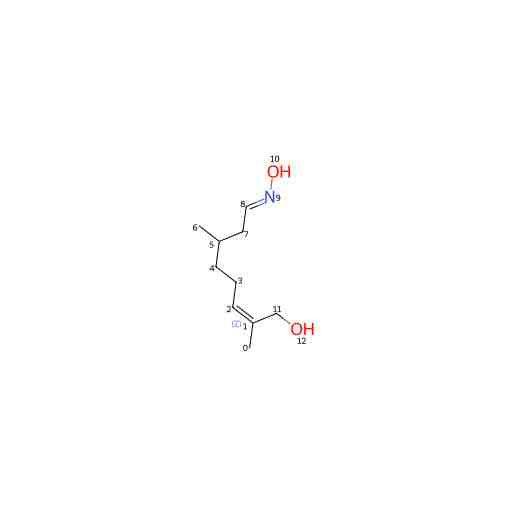 C/C(=C/CCC(C)CC=NO)CO